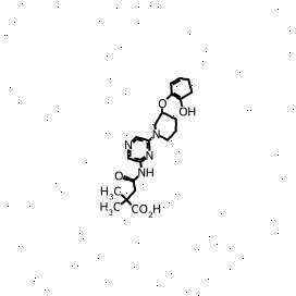 CC(C)(CC(=O)Nc1cncc(N2CCCC(OC3=C(O)CCC=C3)C2)n1)C(=O)O